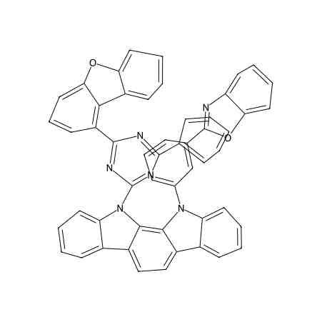 c1ccc(-c2nc(-c3cccc4oc5ccccc5c34)nc(-n3c4ccccc4c4ccc5c6ccccc6n(-c6cccc(-c7nc8ccccc8o7)c6)c5c43)n2)cc1